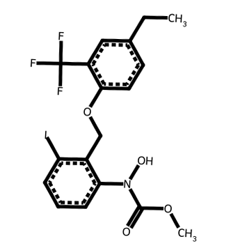 CCc1ccc(OCc2c(I)cccc2N(O)C(=O)OC)c(C(F)(F)F)c1